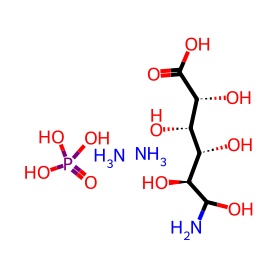 N.N.NC(O)[C@@H](O)[C@@H](O)[C@H](O)[C@@H](O)C(=O)O.O=P(O)(O)O